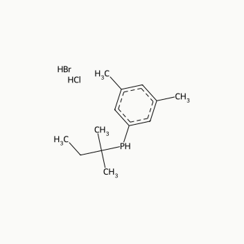 Br.CCC(C)(C)Pc1cc(C)cc(C)c1.Cl